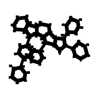 c1ccc(-c2nc3c(c4ccc5c6ccccc6n(-c6ccc(-c7ccccn7)cn6)c5c4n3-c3ccccc3)n2-c2ccccc2)cc1